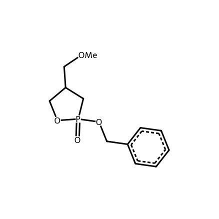 COCC1COP(=O)(OCc2ccccc2)C1